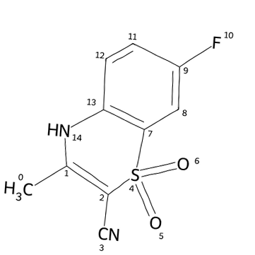 CC1=C(C#N)S(=O)(=O)c2cc(F)ccc2N1